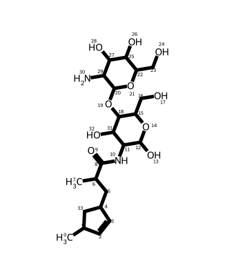 CC1C=CC(CC(C)C(=O)NC2C(O)OC(CO)C(OC3OC(CO)C(O)C(O)C3N)C2O)C1